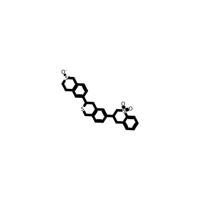 O=S1(=O)CC(c2ccc3c(c2)CC(c2ccc4c(c2)CC[S+]([O-])C4)SC3)Cc2ccccc21